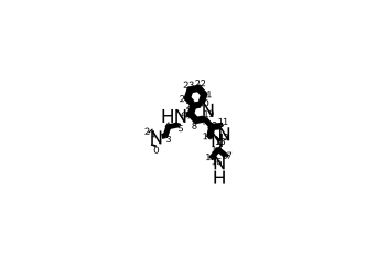 CN(C)CCCNc1cc(-c2cnn(C3CNC3)c2)nc2ccccc12